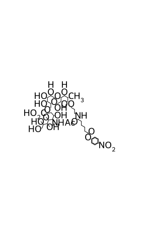 CC(=O)N[C@H]1C(C(O)C(O)CO)O[C@@](OCC2O[C@@H](O[C@@H]3C(CO)O[C@@H](OCCCNC(=O)CCCCC(=O)Oc4ccc([N+](=O)[O-])cc4)[C@@H](C)C3O)[C@@H](O)C(O)[C@H]2O)(C(=O)O)C[C@H]1O